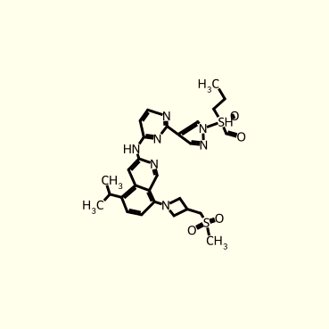 CCC[SH](=O)(C=O)n1cc(-c2nccc(Nc3cc4c(C(C)C)ccc(N5CC(CS(C)(=O)=O)C5)c4cn3)n2)cn1